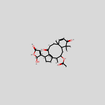 CC(=O)OC1CC2C(C)(C=CC(=O)C2(C)C)CCC(=O)C2=C(CCC2C2=CC(=O)OC2O)C1C